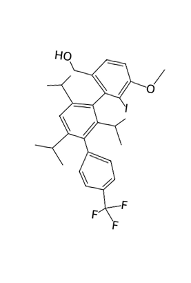 COc1ccc(CO)c(-c2c(C(C)C)cc(C(C)C)c(-c3ccc(C(F)(F)F)cc3)c2C(C)C)c1I